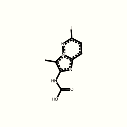 Cc1c(NC(=O)O)nc2ccc(I)nn12